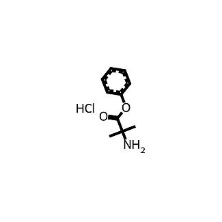 CC(C)(N)C(=O)Oc1ccccc1.Cl